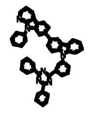 c1ccc(-c2nc(-c3ccccc3)nc(-c3cccc(-n4c5ccccc5c5cc(-c6ccc7c8cccnc8n(-c8ccccc8)c7c6)ccc54)c3)n2)cc1